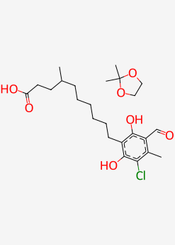 CC1(C)OCCO1.Cc1c(Cl)c(O)c(CCCCCCC(C)CCC(=O)O)c(O)c1C=O